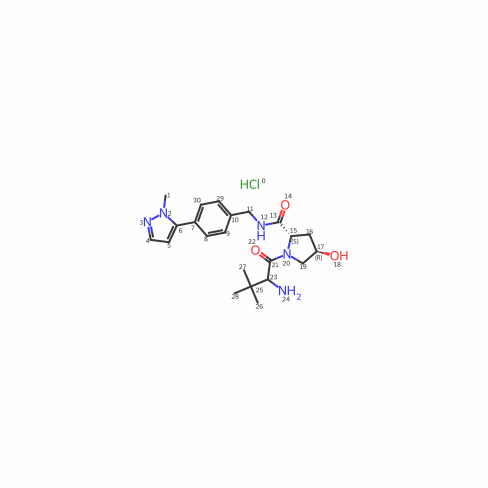 Cl.Cn1nccc1-c1ccc(CNC(=O)[C@@H]2C[C@@H](O)CN2C(=O)C(N)C(C)(C)C)cc1